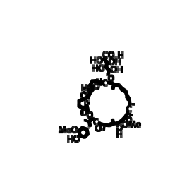 CO[C@@H]1C[C@H](C[C@@H](C)[C@@H]2CC(=O)[C@H](C)/C=C(\C)[C@@H](O)[C@@H](OC)C(=O)[C@H](C)C[C@H](C)/C=C/C=C/C=C(\C)C(OC[C@@H](O)[C@@H](O)[C@H](O)[C@@H](O)C(=O)O)C[C@@H]3CC[C@@H](C)[C@@](O)(O3)C(=O)C(=O)N3CCCC[C@H]3C(=O)O2)CC[C@H]1O